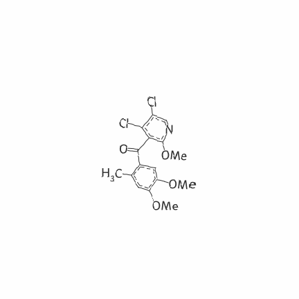 COc1cc(C)c(C(=O)c2c(OC)ncc(Cl)c2Cl)cc1OC